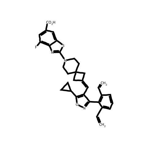 C=Cc1cccc(C=C)c1-c1noc(C2CC2)c1C=C1CC2(CCN(c3nc4c(F)cc(C(=O)O)cc4s3)CC2)C1